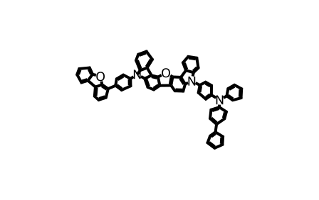 c1ccc(-c2ccc(N(c3ccccc3)c3ccc(-n4c5ccccc5c5c6oc7c(ccc8c7c7ccccc7n8-c7ccc(-c8cccc9c8oc8ccccc89)cc7)c6ccc54)cc3)cc2)cc1